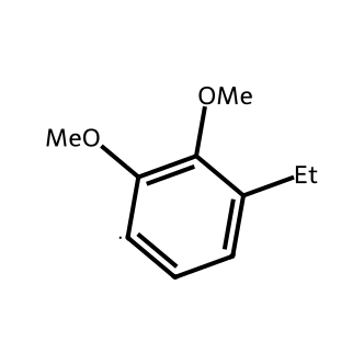 CCc1cc[c]c(OC)c1OC